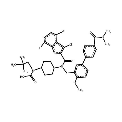 COc1ccc(-c2ccc(C(=O)N(C)C)cc2)cc1CN(C(=O)c1sc2c(F)ccc(F)c2c1Cl)C1CCC(N(CC(C)(C)C)C(=O)O)CC1